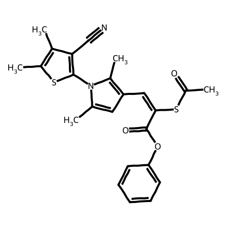 CC(=O)SC(=Cc1cc(C)n(-c2sc(C)c(C)c2C#N)c1C)C(=O)Oc1ccccc1